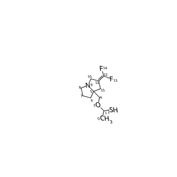 CC(S)OCC12CCCN1CC(=C(F)F)C2